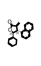 C=C1C(=O)O[C@H](C2=CC=CCC2)[C@H]1c1cccc2ccccc12